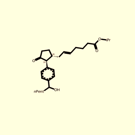 CCCCCC(O)c1ccc([C@H]2C(=O)CC[C@@H]2CC=CCCCC(=O)OC(C)C)cc1